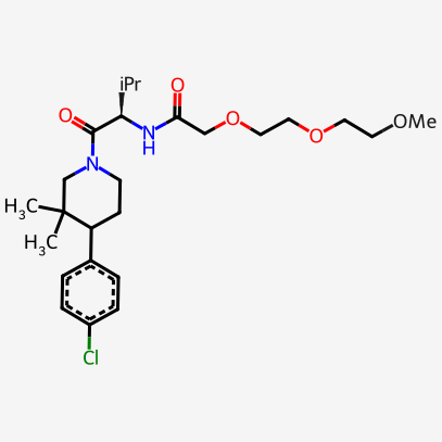 COCCOCCOCC(=O)N[C@@H](C(=O)N1CCC(c2ccc(Cl)cc2)C(C)(C)C1)C(C)C